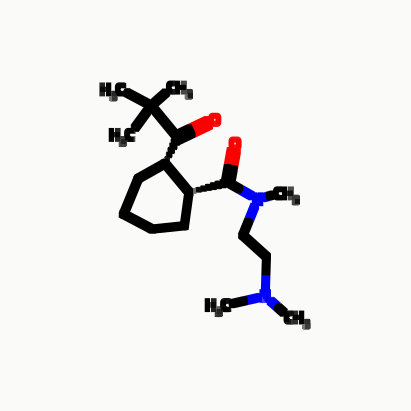 CN(C)CCN(C)C(=O)[C@@H]1CCCC[C@@H]1C(=O)C(C)(C)C